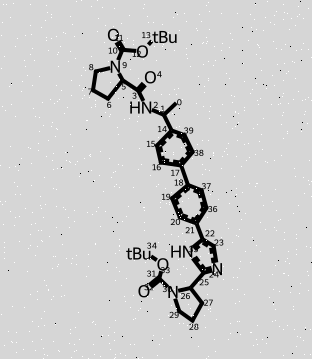 CC(NC(=O)C1CCCN1C(=O)OC(C)(C)C)c1ccc(-c2ccc(-c3cnc(C4CCCN4C(=O)OC(C)(C)C)[nH]3)cc2)cc1